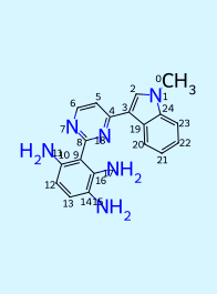 Cn1cc(-c2ccnc(-c3c(N)ccc(N)c3N)n2)c2ccccc21